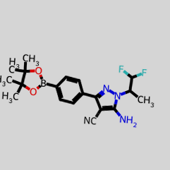 CC(C(F)F)n1nc(-c2ccc(B3OC(C)(C)C(C)(C)O3)cc2)c(C#N)c1N